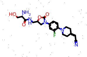 N#CC=C1CCN(c2ccc(N3CC(CNC(=O)[C@@H](N)CO)OC3=O)cc2F)CC1